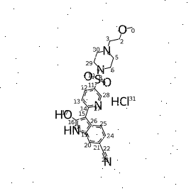 COCCN1CCN(S(=O)(=O)c2ccc(-c3c(O)[nH]c4cc(C#N)ccc34)nc2)CC1.Cl